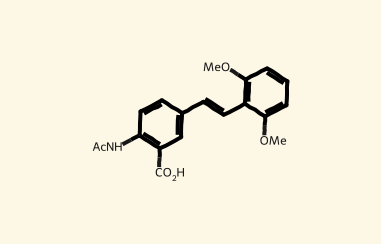 COc1cccc(OC)c1C=Cc1ccc(NC(C)=O)c(C(=O)O)c1